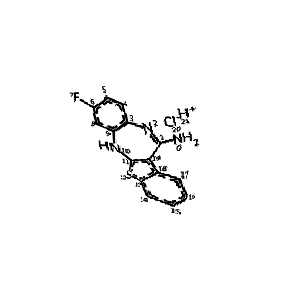 NC1=Nc2ccc(F)cc2Nc2sc3ccccc3c21.[Cl-].[H+]